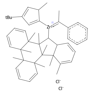 CC1=CC=CC2[CH](/[Zr+2]([C]3=CC(C(C)(C)C)=CC3C)=[C](/C)c3ccccc3)C3(C)C4(C)C=CC=CC4(C)C4(C)C=CC=CC4(C)C3(C)C12C.[Cl-].[Cl-]